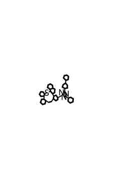 C1=C\c2ccc(-c3nc(-c4ccccc4)nc(-c4ccc(-c5ccccc5)cc4)n3)cc2-c2ccc3ccccc3c2Sc2ccccc2-c2ccccc2/1